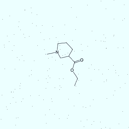 [CH2]N1CCCC(C(=O)OCC)C1